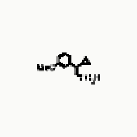 COc1cccc(C(=CC(=O)O)C2CC2)c1